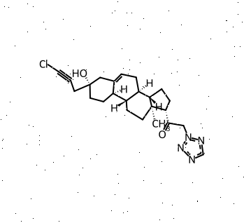 C[C@]12CC[C@H]3[C@@H](CC=C4C[C@](O)(CC#CCl)CC[C@@H]43)[C@@H]1CC[C@@H]2C(=O)Cn1ncnn1